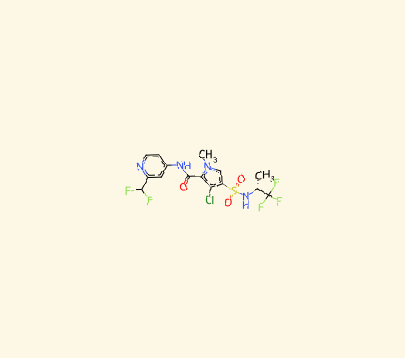 C[C@@H](NS(=O)(=O)c1cn(C)c(C(=O)Nc2ccnc(C(F)F)c2)c1Cl)C(F)(F)F